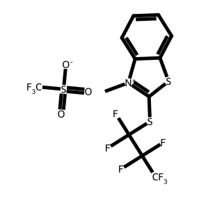 C[n+]1c(SC(F)(F)C(F)(F)C(F)(F)F)sc2ccccc21.O=S(=O)([O-])C(F)(F)F